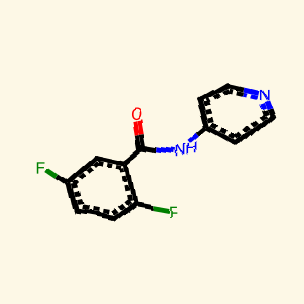 O=C(Nc1ccncc1)c1cc(F)ccc1F